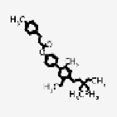 CCc1cc(-c2ccc(OC(=O)CCc3ccc(C)cc3)cc2)c(C)cc1CCC(CC)(CC)CP